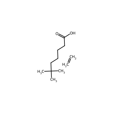 C=C.CC(C)(C)CCCCC(=O)O